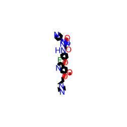 COc1cc2c(Oc3ccc(NC(=O)c4nn(-c5ccncc5)c(=O)n4C)cc3F)ccnc2cc1OCCCN1CCN(C)CC1